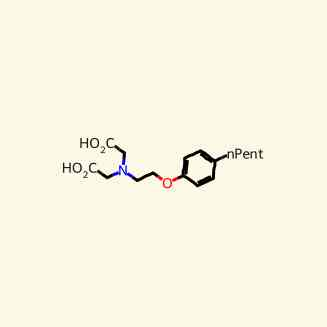 CCCCCc1ccc(OCCN(CC(=O)O)CC(=O)O)cc1